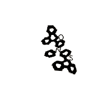 c1ccc(N(c2ccc3oc4c5ccccc5c5ccccc5c4c3c2)c2ccc3sc4c5ccccc5c5ccccc5c4c3c2)cc1